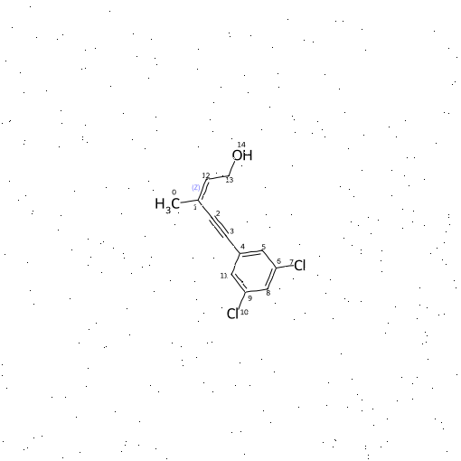 C/C(C#Cc1cc(Cl)cc(Cl)c1)=C/CO